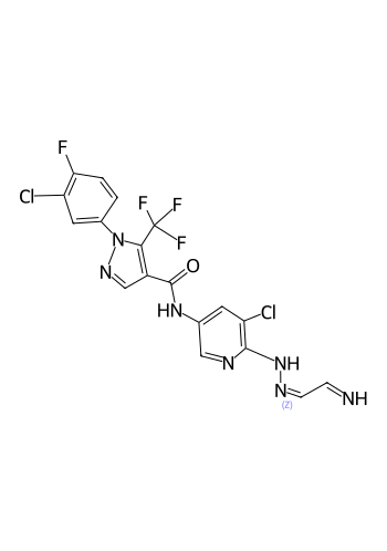 N=C/C=N\Nc1ncc(NC(=O)c2cnn(-c3ccc(F)c(Cl)c3)c2C(F)(F)F)cc1Cl